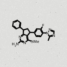 CNc1nc(N)nc2c1C(c1ccc(-n3ncnc3C)c(F)c1)CC2c1ccccc1